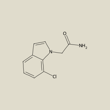 NC(=O)Cn1ccc2cccc(Cl)c21